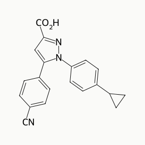 N#Cc1ccc(-c2cc(C(=O)O)nn2-c2ccc(C3CC3)cc2)cc1